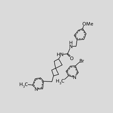 COc1ccc(CNC(=O)NC2CC3(CC(Cc4ccc(C)nc4)C3)C2)cc1.Cc1ccc(Br)cn1